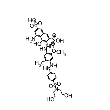 COc1cc(NNc2ccc(S(=O)(=O)N(CCO)CCO)cc2)c(C)cc1NNc1c(S(=O)(=O)O)cc2cc(S(=O)(=O)O)cc(N)c2c1O